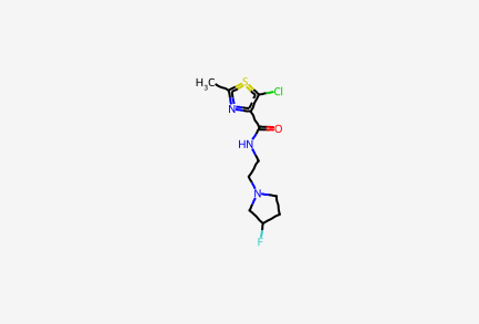 Cc1nc(C(=O)NCCN2CCC(F)C2)c(Cl)s1